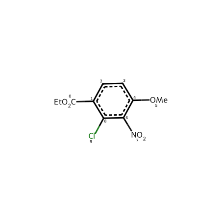 CCOC(=O)c1ccc(OC)c([N+](=O)[O-])c1Cl